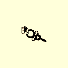 CC#Cc1cc(C)c(C2C(=O)CCCN(C(=O)C(C)(F)F)CCCC2=O)c(C)c1